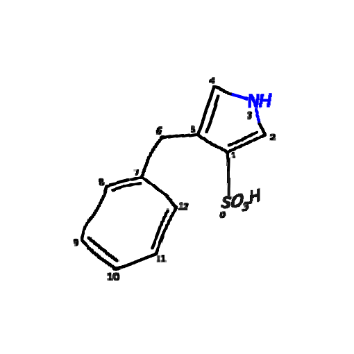 O=S(=O)(O)c1c[nH]cc1Cc1ccccc1